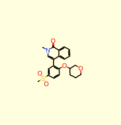 Cn1cc(-c2cc(S(C)(=O)=O)ccc2OC2CCCOC2)c2ccccc2c1=O